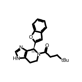 CC(C)(C)CCC(=O)N1CCc2[nH]cnc2[C@H]1c1cc2ccccc2o1